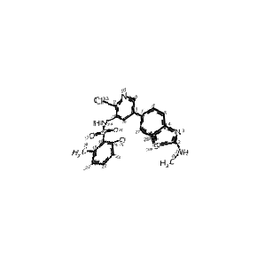 CNc1nc2ccc(-c3cnc(Cl)c(NS(=O)(=O)c4c(C)cccc4Cl)c3)cc2s1